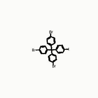 Brc1ccc(C(c2ccc(Br)cc2)(c2ccc(Br)cc2)c2ccc(I)cc2)cc1